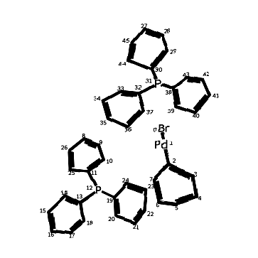 [Br][Pd][c]1ccccc1.c1ccc(P(c2ccccc2)c2ccccc2)cc1.c1ccc(P(c2ccccc2)c2ccccc2)cc1